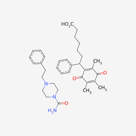 CC1=C(C)C(=O)C(C(CCCCCC(=O)O)c2ccccc2)=C(C)C1=O.NC(=O)N1CCN(CCc2ccccc2)CC1